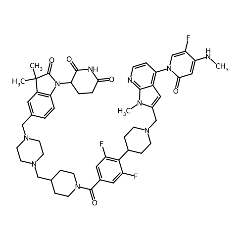 CNc1cc(=O)n(-c2ccnc3c2cc(CN2CCC(c4c(F)cc(C(=O)N5CCC(CN6CCN(Cc7ccc8c(c7)C(C)(C)C(=O)N8C7CCC(=O)NC7=O)CC6)CC5)cc4F)CC2)n3C)cc1F